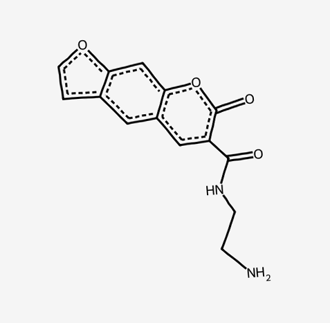 NCCNC(=O)c1cc2cc3ccoc3cc2oc1=O